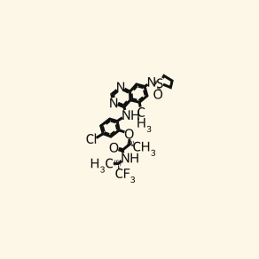 Cc1cc(N=S2(=O)CCC2)cc2ncnc(Nc3ccc(Cl)cc3O[C@H](C)C(=O)N[C@@H](C)C(F)(F)F)c12